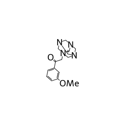 COc1cccc(C(=O)C[N+]23CN4CN(CN(C4)C2)C3)c1